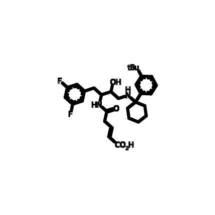 CC(C)(C)c1cccc(C2(NCC(O)C(Cc3cc(F)cc(F)c3)NC(=O)C/C=C/C(=O)O)CCCCC2)c1